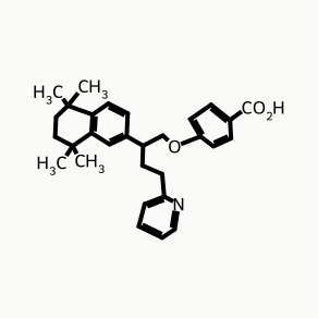 CC1(C)CCC(C)(C)c2cc(C(CCc3ccccn3)COc3ccc(C(=O)O)cc3)ccc21